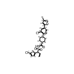 C=CC(c1ccc(Cl)s1)S(=O)(=O)NC(=O)N1CCN(c2ncc(-c3cc(C)no3)cc2Cl)CC1